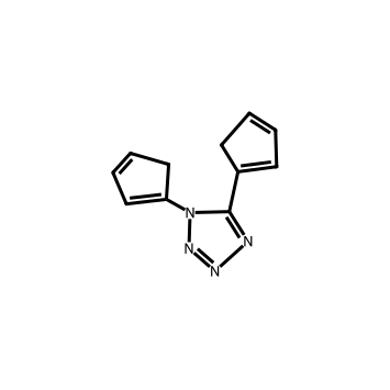 C1=CCC(c2nnnn2C2=CC=CC2)=C1